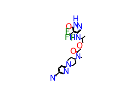 CC(COCC(=O)N(C)C1CCN(c2ccc(C#N)cn2)CC1)Nc1cn[nH]c(=O)c1C(F)(F)F